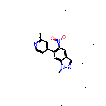 Cc1cc(-c2cc3c(cnn3C)cc2[N+](=O)[O-])ccn1